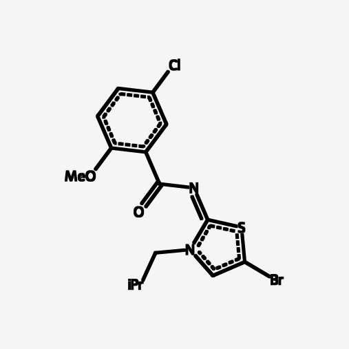 COc1ccc(Cl)cc1C(=O)N=c1sc(Br)cn1CC(C)C